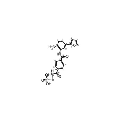 Nc1ccc(-c2cccs2)cc1NC(=O)c1ccc(C(=O)NCP(=O)(O)O)cc1